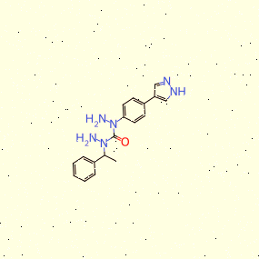 CC(c1ccccc1)N(N)C(=O)N(N)c1ccc(-c2cn[nH]c2)cc1